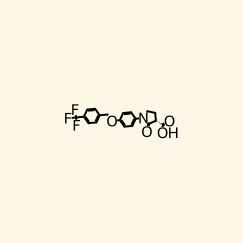 O=C(O)[C@H]1CCN(c2ccc(OCc3ccc(C(F)(F)F)cc3)cc2)C1=O